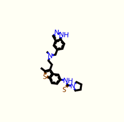 Cc1sc2ccc(NC(=S)N3CCCC3)cc2c1CCN(C)Cc1ccc2[nH]ncc2c1